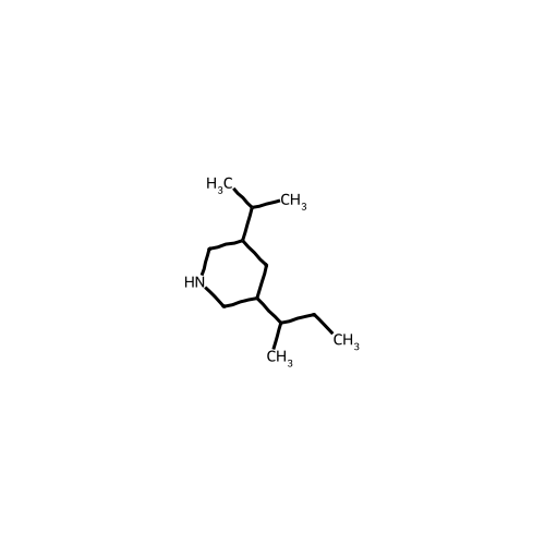 CCC(C)C1CNCC(C(C)C)C1